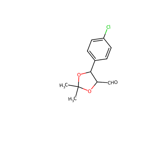 CC1(C)OC(C=O)C(c2ccc(Cl)cc2)O1